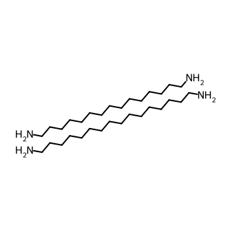 NCCCCCCCCCCCCCCCCN.NCCCCCCCCCCCCCCCN